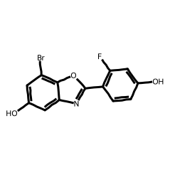 Oc1ccc(-c2nc3cc(O)cc(Br)c3o2)c(F)c1